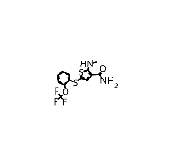 CNc1sc(Sc2ccccc2OC(F)(F)F)cc1C(N)=O